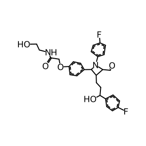 O=CC1C(CCC(O)c2ccc(F)cc2)C(c2ccc(OCC(=O)NCCO)cc2)N1c1ccc(F)cc1